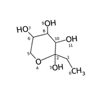 CCC1(O)OCC(O)C(O)C1O